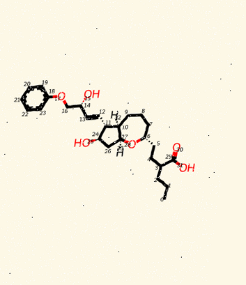 CCCC(CC[C@H]1CCC[C@@H]2[C@@H](C=C[C@@H](O)COc3ccccc3)[C@H](O)C[C@@H]2O1)C(=O)O